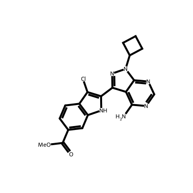 COC(=O)c1ccc2c(Cl)c(-c3nn(C4CCC4)c4ncnc(N)c34)[nH]c2c1